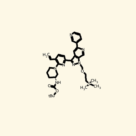 C=Cc1ccc(-c2nn(COCCS(C)(C)C)c3cnc(-c4cccnc4)cc23)nc1N1CCC[C@@H](NC(=O)OC(C)(C)C)C1